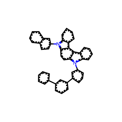 c1ccc(-c2cccc(-c3cccc(-n4c5ccccc5c5c6c7ccccc7n(-c7ccc8ccccc8c7)c6ccc54)c3)c2)cc1